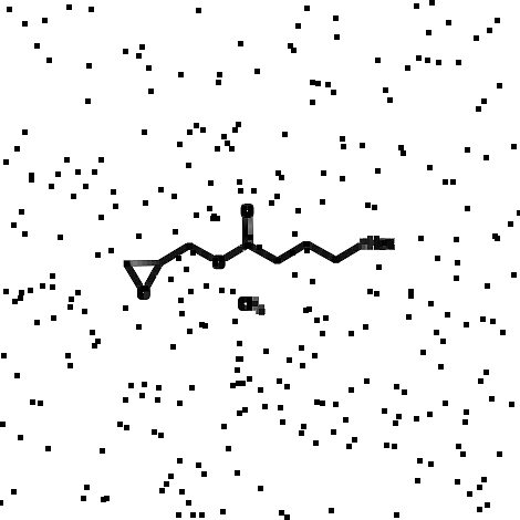 C.CCCCCCCCCC(=O)OCC1CO1